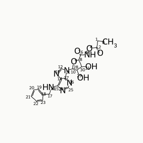 CCC(=O)ONC(=O)C1OC(n2cnc3c(NCc4ccccc4)ncnc32)C(O)C1O